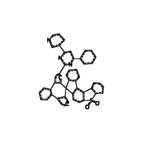 O=S1(=O)c2ccccc2-c2c1ccc1c2-c2ccccc2C12c1ccccc1-c1ccccc1-c1ccc(-c3nc(-c4ccccc4)cc(-c4cccnc4)n3)cc12